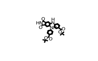 CC(C)(C)OC(=O)c1ccc(Nc2cc3c(cc2Nc2ccc(C(=O)OC(C)(C)C)cc2)C(=O)NC3=O)cc1